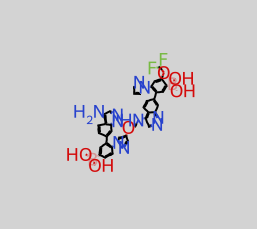 Nc1cnnc2cc(-c3cc(B(O)O)ccc3-n3cc(OCNc4cnnc5cc(-c6cc(B(O)O)c(OC(F)F)cc6-n6cccn6)ccc45)cn3)ccc12